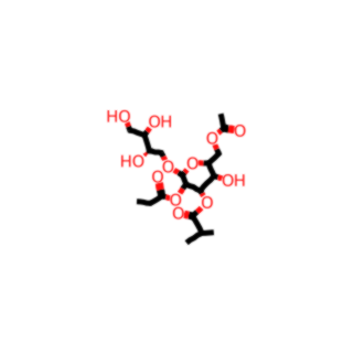 CCC(=O)OC1C(OC[C@@H](O)C(O)CO)OC(COC(C)=O)C(O)C1OC(=O)C(C)C